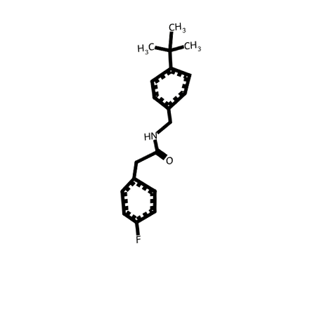 CC(C)(C)c1ccc(CNC(=O)Cc2ccc(F)cc2)cc1